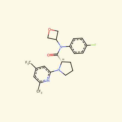 O=C([C@@H]1CCCN1c1cc(C(F)(F)F)cc(C(F)(F)F)n1)N(c1ccc(F)cc1)C1COC1